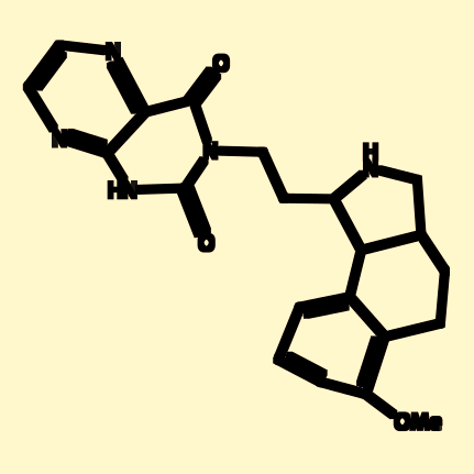 COc1cccc2c1CCC1CNC(CCn3c(=O)[nH]c4nccnc4c3=O)C21